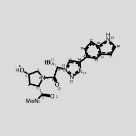 CNC(=O)[C@@H]1C[C@@H](O)CN1C(=O)[C@@H](n1cc(-c2ccc3[nH]ccc3c2)nn1)C(C)(C)C